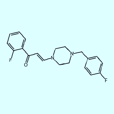 O=C(C=CN1CCN(Cc2ccc(F)cc2)CC1)c1ccccc1F